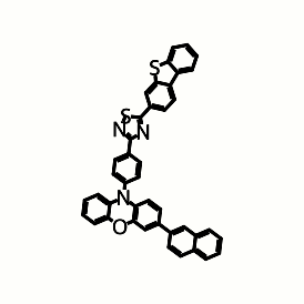 c1ccc2c(c1)Oc1cc(-c3ccc4ccccc4c3)ccc1N2c1ccc(-c2nsc(-c3ccc4c(c3)sc3ccccc34)n2)cc1